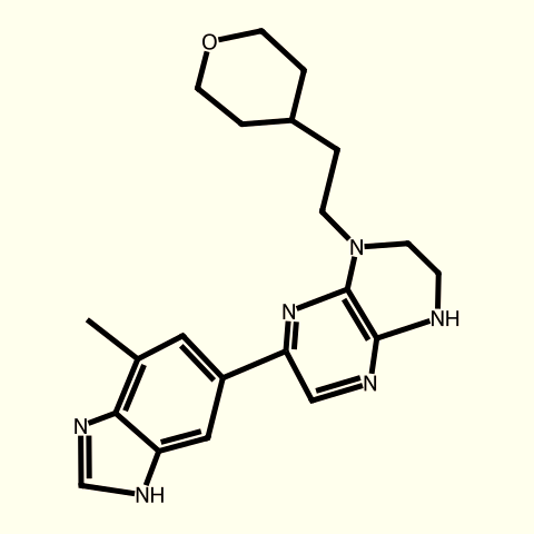 Cc1cc(-c2cnc3c(n2)N(CCC2CCOCC2)CCN3)cc2[nH]cnc12